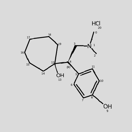 CN(C)C[C@@H](c1ccc(O)cc1)C1(O)CCCCCC1.Cl